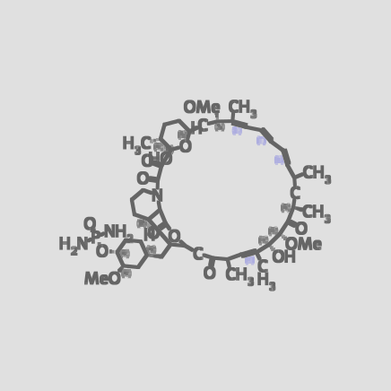 CO[C@H]1C[C@@H]2CC[C@@H](C)[C@@](O)(O2)C(=O)C(=O)N2CCC[C@@H]3C(C[C@@H]4CC[C@@H](OP(N)(N)=O)[C@H](OC)C4)C(CC(=O)C(C)/C=C(\C)[C@@H](O)[C@@H](OC)C(=O)[C@H](C)CC(C)/C=C/C=C/C=C/1C)OC(=O)C32